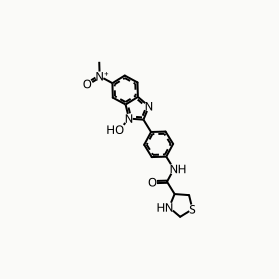 C[N+](=O)c1ccc2nc(-c3ccc(NC(=O)C4CSCN4)cc3)n(O)c2c1